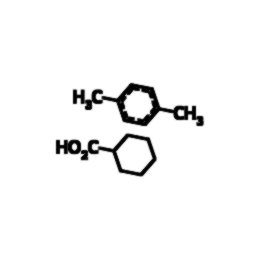 Cc1ccc(C)cc1.O=C(O)C1CCCCC1